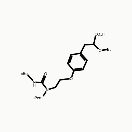 CCCCCN(CCOc1ccc(CC(OCC)C(=O)O)cc1)C(=O)NCCCC